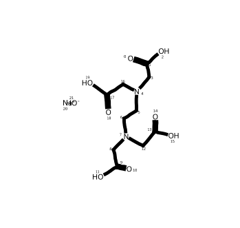 O=C(O)CN(CCN(CC(=O)O)CC(=O)O)CC(=O)O.[Na+].[OH-]